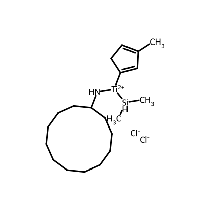 CC1=CC[C]([Ti+2]([NH]C2CCCCCCCCCCC2)[SiH](C)C)=C1.[Cl-].[Cl-]